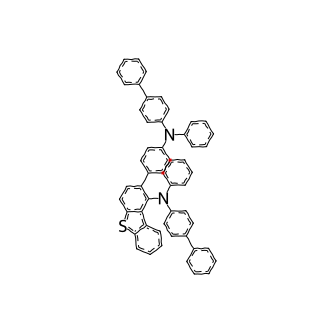 c1ccc(-c2ccc(N(c3ccccc3)c3ccc(-c4ccc5sc6ccccc6c5c4N(c4ccccc4)c4ccc(-c5ccccc5)cc4)cc3)cc2)cc1